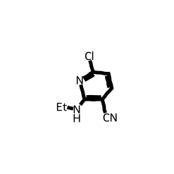 CCNc1nc(Cl)ccc1C#N